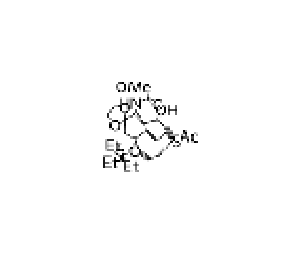 CC[Si](CC)(CC)O[C@@]12C#C/C=C\C#C[C@H](O)C(=C(NC(=O)OC)C3(C1)OCCO3)/C2=C\CSC(C)=O